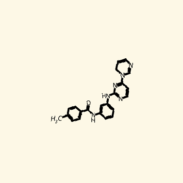 Cc1ccc(C(=O)Nc2cccc(Nc3nccc(N4C=NC=CC4)n3)c2)cc1